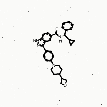 O=C(N[C@H](c1ccccc1)C1CC1)c1ccc2[nH]nc(-c3ccc(N4CCC(C5COC5)CC4)cc3)c2c1